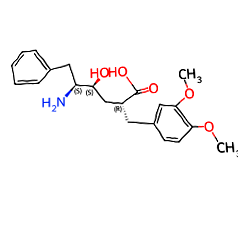 COc1ccc(C[C@H](C[C@H](O)[C@@H](N)Cc2ccccc2)C(=O)O)cc1OC